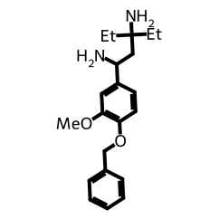 CCC(N)(CC)CC(N)c1ccc(OCc2ccccc2)c(OC)c1